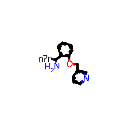 CCCC(N)c1ccccc1OCc1cccnc1